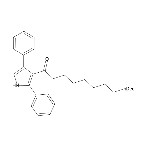 CCCCCCCCCCCCCCCCCC(=O)c1c(-c2ccccc2)c[nH]c1-c1ccccc1